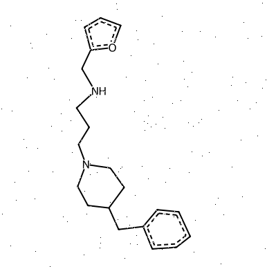 c1ccc(CC2CCN(CCCNCc3ccco3)CC2)cc1